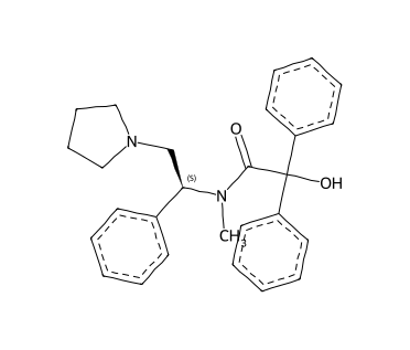 CN(C(=O)C(O)(c1ccccc1)c1ccccc1)[C@H](CN1CCCC1)c1ccccc1